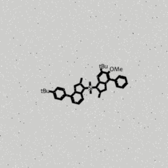 COC1=C(c2ccccc2)C2CC(C)C([Si](C)(C)C3C(C)CC4C(c5ccc(C(C)(C)C)cc5)=CC=CC43)C2C=C1C(C)(C)C